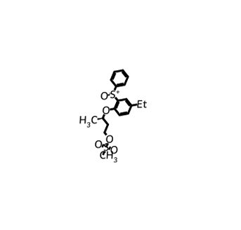 CCc1ccc(O[C@H](C)CCOS(C)(=O)=O)c([S@@+]([O-])c2ccccc2)c1